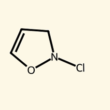 ClN1CC=CO1